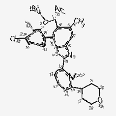 CC(=O)[C@@H](OC(C)(C)C)c1c(C)cc2nc(-c3ccnc(C4CCOCC4)n3)sc2c1-c1ccc(Cl)cc1